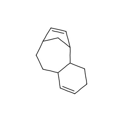 C1=CC2CCC3C=CC(C3)C2CC1